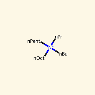 CCCCCCCC[N+](CCC)(CCCC)CCCCC